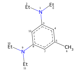 CCN(CC)c1cc(C)cc(N(CC)CC)c1